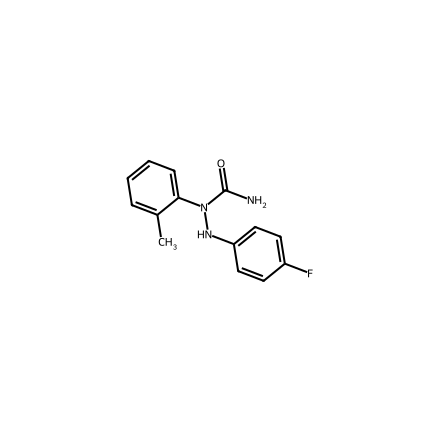 Cc1ccccc1N(Nc1ccc(F)cc1)C(N)=O